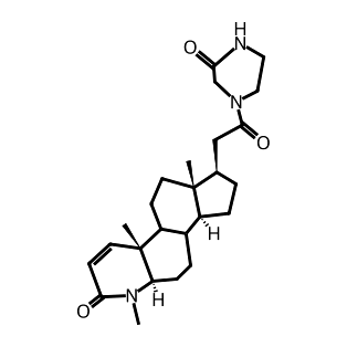 CN1C(=O)C=C[C@]2(C)C3CC[C@]4(C)[C@@H](CC(=O)N5CCNC(=O)C5)CC[C@H]4C3CC[C@@H]12